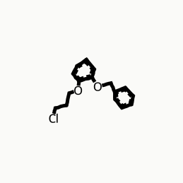 ClCCCOc1ccccc1OCc1ccccc1